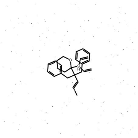 C=C[SiH](C=C)C1(C(C=CC)(Cc2ccccc2)Cc2ccccc2)CCCCO1